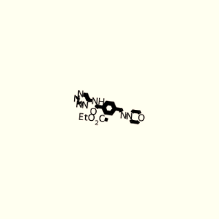 CCOC(C)=O.O=C(Nc1cnnnn1)c1ccc(C=NN2CCOCC2)cc1